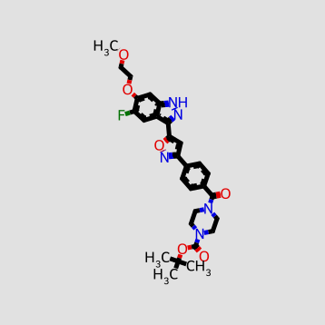 COCCOc1cc2[nH]nc(-c3cc(-c4ccc(C(=O)N5CCN(C(=O)OC(C)(C)C)CC5)cc4)no3)c2cc1F